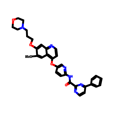 COc1cc2c(Oc3ccc(NC(=O)c4nccc(-c5ccccc5)n4)nc3)ccnc2cc1OCCCN1CCOCC1